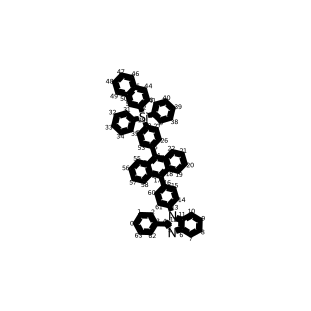 c1ccc(-c2nc3ccccc3n2-c2ccc(-c3c4ccccc4c(-c4ccc([Si](c5ccccc5)(c5ccccc5)c5ccc6ccccc6c5)cc4)c4ccccc34)cc2)cc1